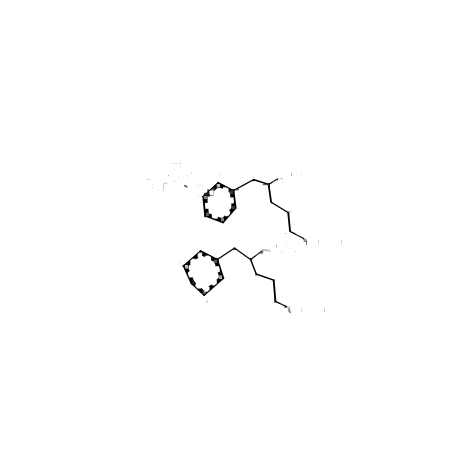 C[C](C)(C)[SnH2+4][C](C)(C)C.O=C([O-])CCCC(Cc1ccccc1)C(=O)[O-].O=C([O-])CCCC(Cc1ccccc1)C(=O)[O-]